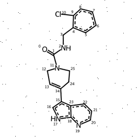 O=C(NCc1ccccc1Cl)N1CC=C(c2c[nH]c3ncccc23)CC1